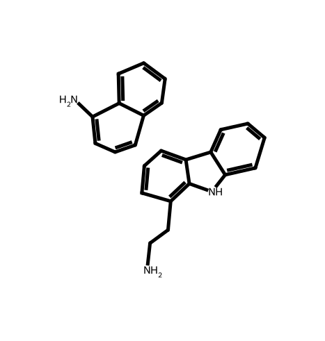 NCCc1cccc2c1[nH]c1ccccc12.Nc1cccc2ccccc12